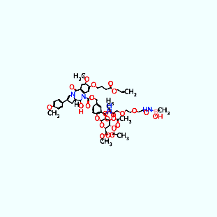 C=CCOC(=O)CCCOc1cc2c(cc1OC)C(=O)N1C=C(c3ccc(OC)cc3)C[C@H]1C(O)N2C(=O)OCc1ccc(O[C@@H]2O[C@H](C(=O)OC)[C@@H](OC(C)=O)[C@H](OC(C)=O)[C@H]2OC(C)=O)c(C(=O)NCCOCCOCCONB(C)O)c1